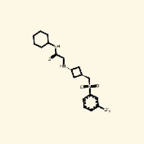 O=C(CN[C@H]1C[C@H](CS(=O)(=O)c2cccc(C(F)(F)F)c2)C1)NC1CCCCC1